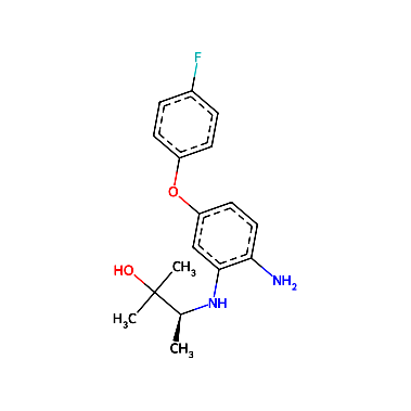 C[C@H](Nc1cc(Oc2ccc(F)cc2)ccc1N)C(C)(C)O